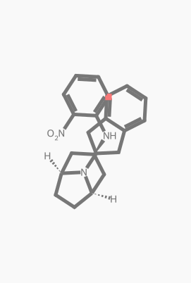 O=[N+]([O-])c1ccccc1N[C@H]1C[C@H]2CC[C@@H](C1)N2C1Cc2ccccc2C1